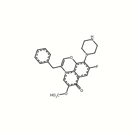 O=C(O)Oc1cn2c3c(c(N4CCNCC4)c(F)cc3c1=O)OC=C2Cc1ccccc1